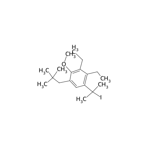 CCc1c(C(C)(C)I)cc(CC(C)(C)C)c(OC)c1CC